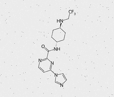 O=C(N[C@H]1CC[C@H](NCC(F)(F)F)CC1)c1nccc(-n2ccnc2)n1